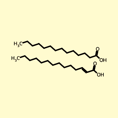 CCCCCCCCCCCC=CC(=O)O.CCCCCCCCCCCCCC(=O)O